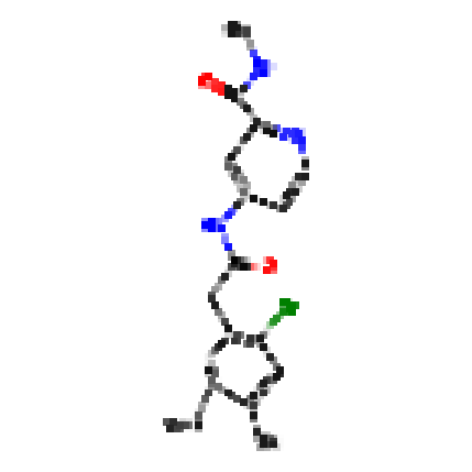 COc1cc(CC(=O)Nc2ccnc(C(=O)NC(C)(C)C)c2)c(Br)cc1C(C)(C)C